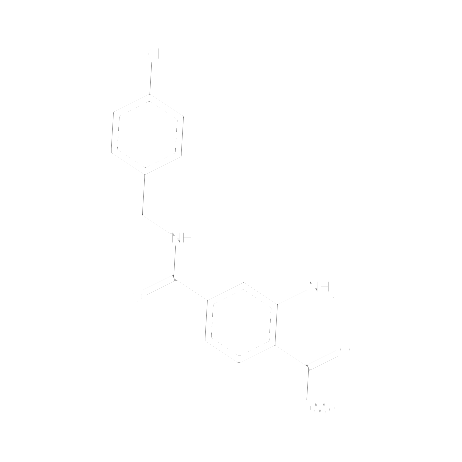 COC(=O)c1ccc(C(=O)NCc2ccc(Cl)cc2)cc1N